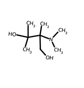 CN(C)C(C)(CO)C(C)(C)O